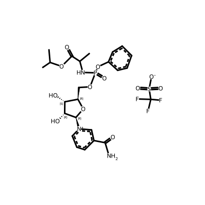 CC(C)OC(=O)C(C)NP(=O)(OC[C@H]1O[C@@H]([n+]2cccc(C(N)=O)c2)[C@H](O)[C@@H]1O)Oc1ccccc1.O=S(=O)([O-])C(F)(F)F